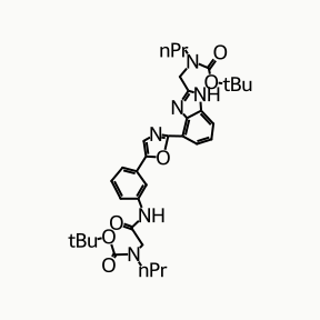 CCCN(CC(=O)Nc1cccc(-c2cnc(-c3cccc4[nH]c(CN(CCC)C(=O)OC(C)(C)C)nc34)o2)c1)C(=O)OC(C)(C)C